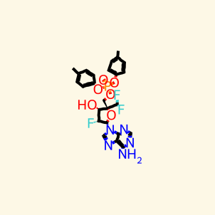 Cc1ccc(OP(=O)(OC[C@@]2(C(F)F)O[C@@H](n3cnc4c(N)ncnc43)[C@H](F)[C@@H]2O)Oc2ccc(C)cc2)cc1